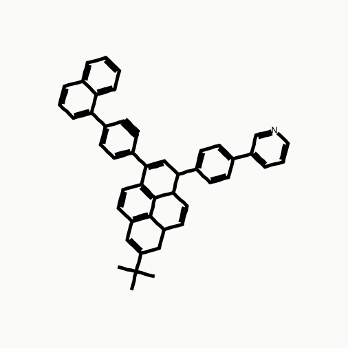 CC(C)(C)C1=Cc2ccc3c4c2C(C=CC4C(c2ccc(-c4cccnc4)cc2)C=C3c2c#cc(-c3cccc4ccccc34)cc2)C1